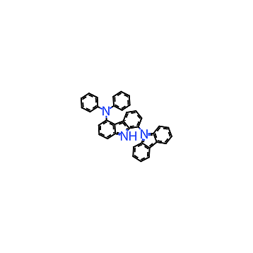 c1ccc(N(c2ccccc2)c2cccc3[nH]c4c(-n5c6ccccc6c6ccccc65)cccc4c23)cc1